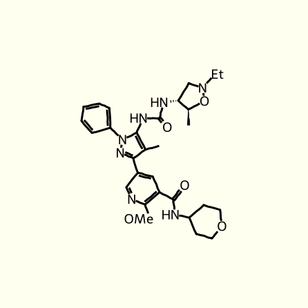 CCN1C[C@@H](NC(=O)Nc2c(C)c(-c3cnc(OC)c(C(=O)NC4CCOCC4)c3)nn2-c2ccccc2)[C@H](C)O1